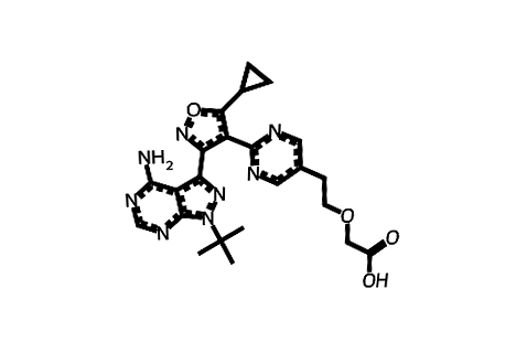 CC(C)(C)n1nc(-c2noc(C3CC3)c2-c2ncc(CCOCC(=O)O)cn2)c2c(N)ncnc21